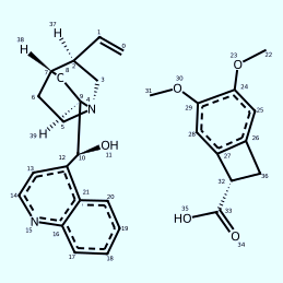 C=C[C@H]1C[N@]2CC[C@H]1C[C@@H]2[C@@H](O)c1ccnc2ccccc12.COc1cc2c(cc1OC)[C@@H](C(=O)O)C2